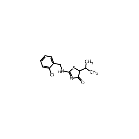 CC(C)C1SC(NCc2ccccc2Cl)=NC1=O